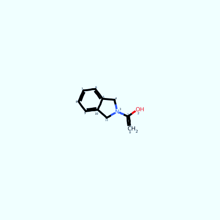 C=C(O)N1Cc2ccccc2C1